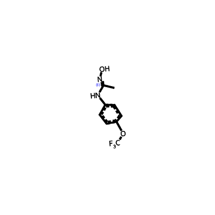 C/C(=N\O)Nc1ccc(OC(F)(F)F)cc1